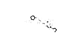 Nc1cccc(NCCNc2nc(N)n3nc(-c4ccco4)nc3n2)c1